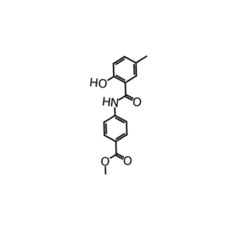 COC(=O)c1ccc(NC(=O)c2cc(C)ccc2O)cc1